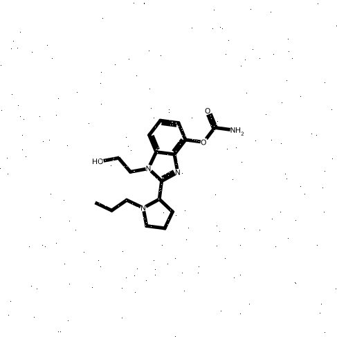 CCCN1CCCC1c1nc2c(OC(N)=O)cccc2n1CCO